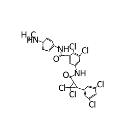 CNc1ccc(NC(=O)c2cc(NC(=O)C3C(c4cc(Cl)cc(Cl)c4)C3(Cl)Cl)cc(Cl)c2Cl)cc1